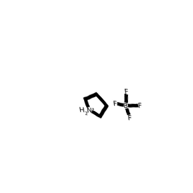 C1CC[NH2+]C1.F[B-](F)(F)F